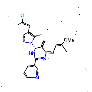 C=C1/C(=C\C=C(/C)OC)N=C(c2cccnc2)N[C@@H]1n1ccc(/C=C(\C)Cl)c1C